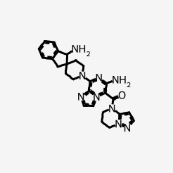 Nc1nc(N2CCC3(CC2)Cc2ccccc2C3N)c2nccn2c1C(=O)N1CCCn2nccc21